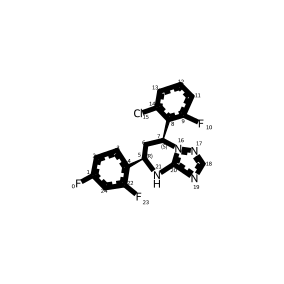 Fc1ccc([C@H]2C[C@@H](c3c(F)cccc3Cl)n3ncnc3N2)c(F)c1